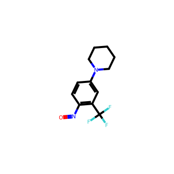 O=Nc1ccc(N2CCCCC2)cc1C(F)(F)F